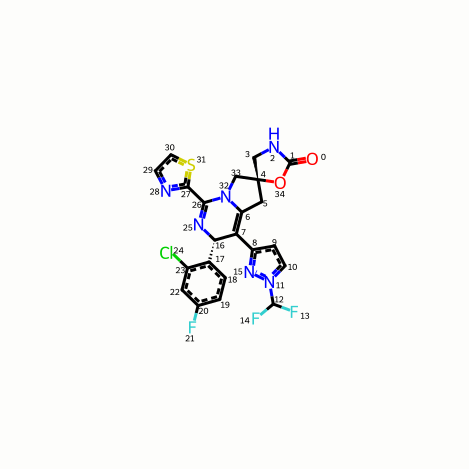 O=C1NC[C@]2(CC3=C(c4ccn(C(F)F)n4)[C@H](c4ccc(F)cc4Cl)N=C(c4nccs4)N3C2)O1